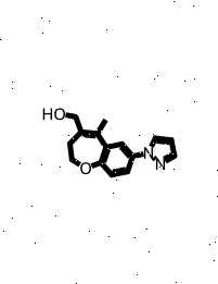 CC1=C(CO)CCOc2ccc(-n3cccn3)cc21